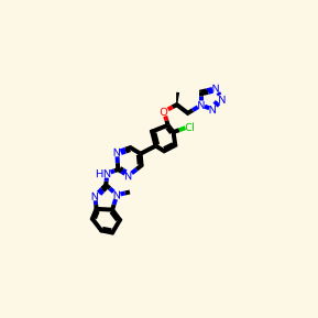 C[C@@H](Cn1cnnn1)Oc1cc(-c2cnc(Nc3nc4ccccc4n3C)nc2)ccc1Cl